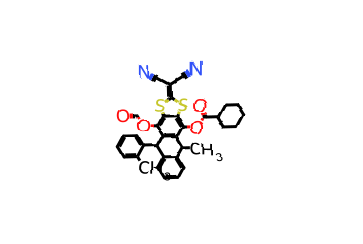 Cc1ccccc1C1c2ccccc2C(C)c2c(OC(=O)C3CCCCC3)c3c(c(OC=O)c21)SC(=C(C#N)C#N)S3